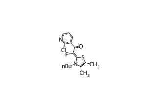 CCCCN1C(C)=C(C)SC1=C(F)C(=O)c1cccnc1Cl